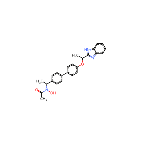 CC(=O)N(O)C(C)c1ccc(-c2ccc(OC(C)c3nc4ccccc4[nH]3)cc2)cc1